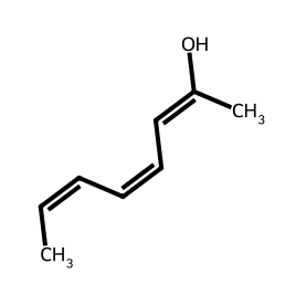 C\C=C/C=C\C=C(/C)O